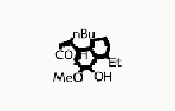 CCCC/C(=C/C(=O)O)c1cc(OC)c(O)c2c(CC)cccc12